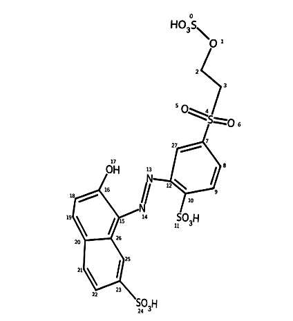 O=S(=O)(O)OCCS(=O)(=O)c1ccc(S(=O)(=O)O)c(/N=N/c2c(O)ccc3ccc(S(=O)(=O)O)cc23)c1